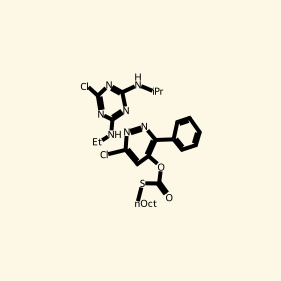 CCCCCCCCSC(=O)Oc1cc(Cl)nnc1-c1ccccc1.CCNc1nc(Cl)nc(NC(C)C)n1